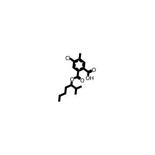 CCCCC(OC(=O)c1cc(Cl)c(C)cc1C(=O)O)C(C)C